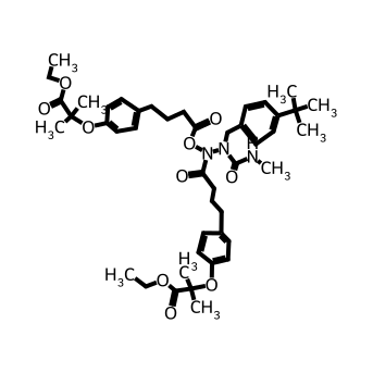 CCOC(=O)C(C)(C)Oc1ccc(CCCC(=O)ON(C(=O)CCCc2ccc(OC(C)(C)C(=O)OCC)cc2)N(Cc2ccc(C(C)(C)C)cc2)C(=O)NC)cc1